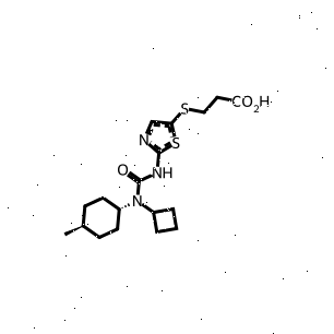 C[C@H]1CC[C@H](N(C(=O)Nc2ncc(SCCC(=O)O)s2)C2CCC2)CC1